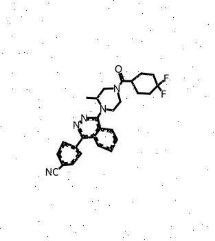 CC1CN(C(=O)C2CCC(F)(F)CC2)CCN1c1nnc(-c2ccc(C#N)cc2)c2ccccc12